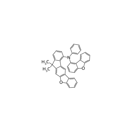 CC1(C)c2cc3oc4ccccc4c3cc2-c2c(N(c3ccccc3)c3cccc4oc5ccccc5c34)cccc21